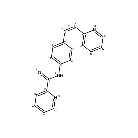 O=C(Nc1ccc(/N=N\c2ccccn2)cc1)c1ccccn1